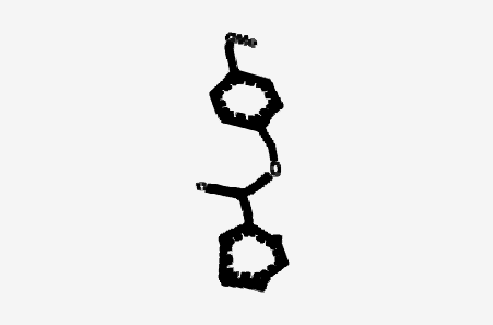 COc1ccc(OC(=O)c2cc[c]cc2)cc1